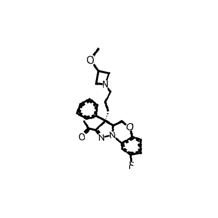 COC1CN(CCC[C@@]2(c3ccccc3)C(C(C)=O)=NN3c4cc(F)ccc4OCC32)C1